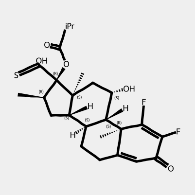 CC(C)C(=O)O[C@]1(C(O)=S)[C@H](C)C[C@H]2[C@@H]3CCC4=CC(=O)C(F)=C(F)[C@]4(C)[C@H]3[C@@H](O)C[C@@]21C